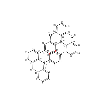 c1ccc(N2c3ccccc3Cc3cccc(-c4ccc5c(c4)Oc4cccc6c4B5c4ccccc4O6)c32)cc1